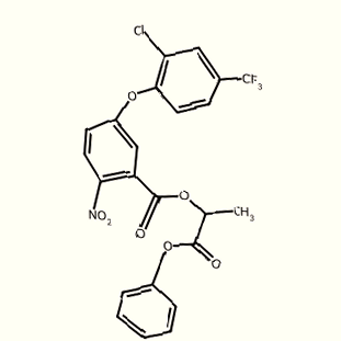 CC(OC(=O)c1cc(Oc2ccc(C(F)(F)F)cc2Cl)ccc1[N+](=O)[O-])C(=O)Oc1ccccc1